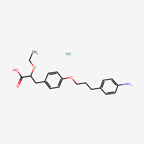 CCOC(Cc1ccc(OCCCc2ccc(N)cc2)cc1)C(=O)O.Cl